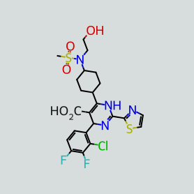 CS(=O)(=O)N(CCO)C1CCC(C2=C(C(=O)O)C(c3ccc(F)c(F)c3Cl)N=C(c3nccs3)N2)CC1